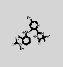 CCC(=O)OC(C)C.CCc1cnc(C2=NC(C)(C(C)C)C(=O)N2)c(C(=O)O)c1.N#Cc1ccccc1I